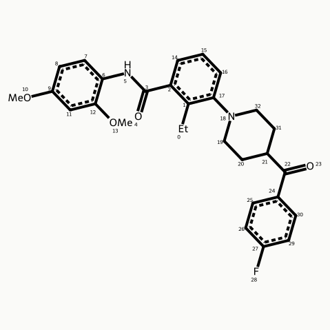 CCc1c(C(=O)Nc2ccc(OC)cc2OC)cccc1N1CCC(C(=O)c2ccc(F)cc2)CC1